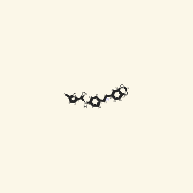 Cc1ccc(C(=O)Nc2ccc(/C=C/c3ccc4c(c3)OCO4)cc2)s1